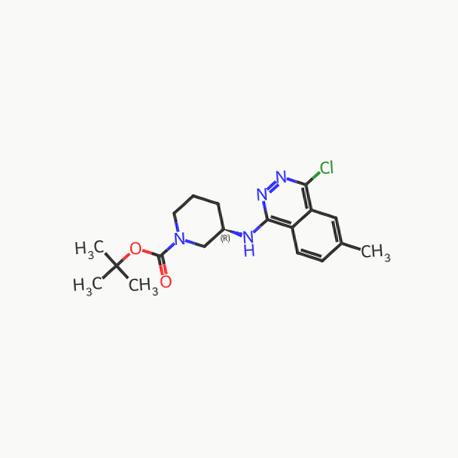 Cc1ccc2c(N[C@@H]3CCCN(C(=O)OC(C)(C)C)C3)nnc(Cl)c2c1